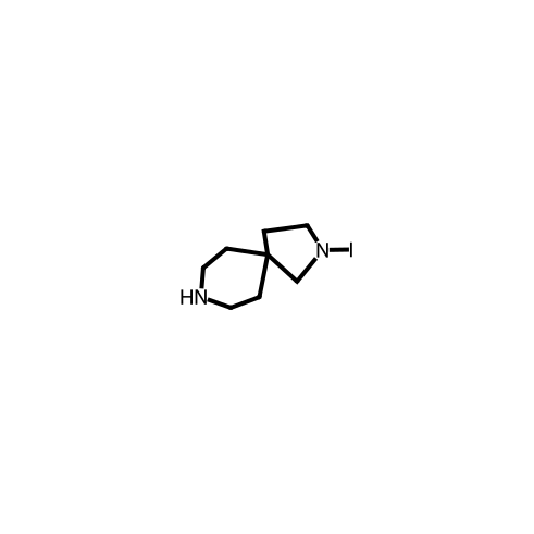 IN1CCC2(CCNCC2)C1